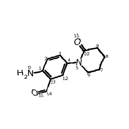 Nc1ccc(N2CCCCC2=O)cc1C=O